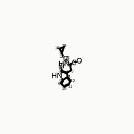 O=C=C(Cc1c(Br)[nH]c2ccccc12)NOCC1CC1